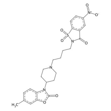 Cc1ccc2c(c1)oc(=O)n2C1CCN(CCCCN2C(=O)c3cc([N+](=O)[O-])ccc3S2(=O)=O)CC1